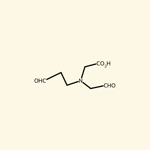 O=CCCN(CC=O)CC(=O)O